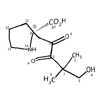 CC(C)(CO)C(=O)C(=O)[C@]1(C(=O)O)CCCN1